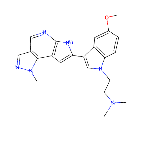 COc1ccc2c(c1)c(-c1cc3c(ncc4cnn(C)c43)[nH]1)cn2CCN(C)C